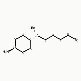 Br.N[C@H]1CC[C@H](CCCCCBr)CC1